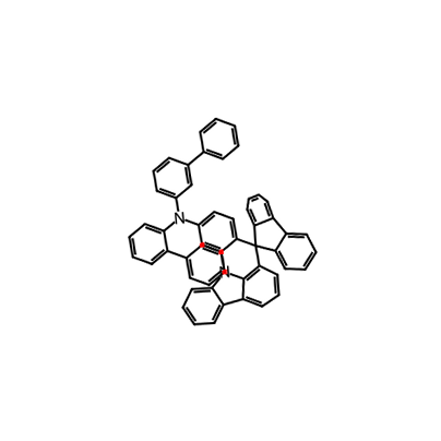 c1ccc(-c2cccc(N(c3ccc4c(c3)-n3c5ccccc5c5cccc(c53)C43c4ccccc4-c4ccccc43)c3ccccc3-c3ccccc3)c2)cc1